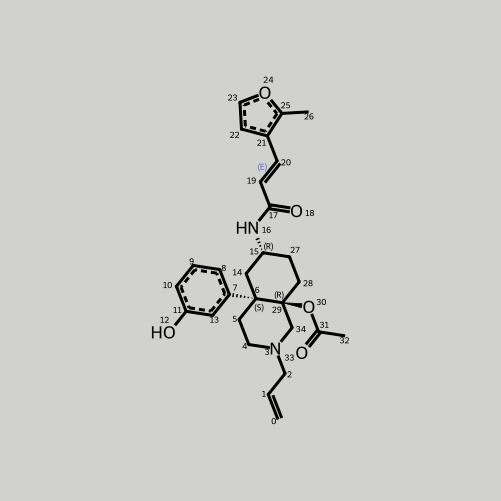 C=CCN1CC[C@@]2(c3cccc(O)c3)C[C@H](NC(=O)/C=C/c3ccoc3C)CC[C@]2(OC(C)=O)C1